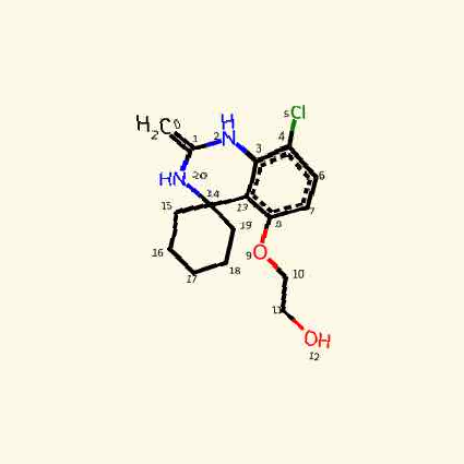 C=C1Nc2c(Cl)ccc(OCCO)c2C2(CCCCC2)N1